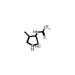 CC1CNCC1NC(=O)C(F)(F)F.Cl